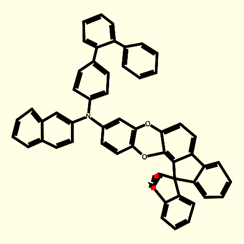 c1ccc(-c2ccccc2-c2ccc(N(c3ccc4c(c3)Oc3ccc5c(c3O4)C3(c4ccccc4-c4ccccc43)c3ccccc3-5)c3ccc4ccccc4c3)cc2)cc1